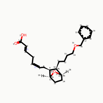 O=C(O)/C=C/C/C=C\C[C@H]1[C@@H](CCCCOCc2ccccc2)[C@H]2CC[C@@H]1O2